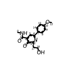 CNC(=O)c1cc(-c2ccc(OC)cc2)nn(CCO)c1=O